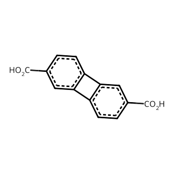 O=C(O)c1ccc2c(c1)-c1ccc(C(=O)O)cc1-2